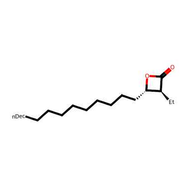 CCCCCCCCCCCCCCCCC[CH]C[C@@H]1OC(=O)[C@H]1CC